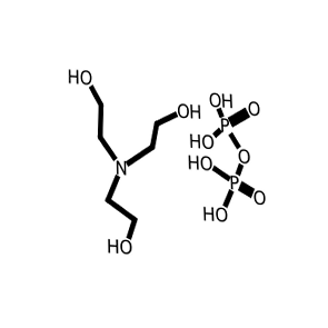 O=P(O)(O)OP(=O)(O)O.OCCN(CCO)CCO